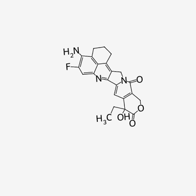 CCC1(O)C(=O)OCc2c1cc1n(c2=O)Cc2c-1nc1cc(F)c(N)c3c1c2CCC3